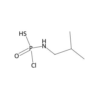 CC(C)CNP(=O)(S)Cl